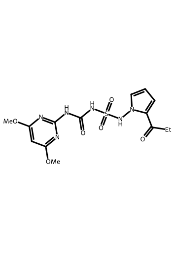 CCC(=O)c1cccn1NS(=O)(=O)NC(=O)Nc1nc(OC)cc(OC)n1